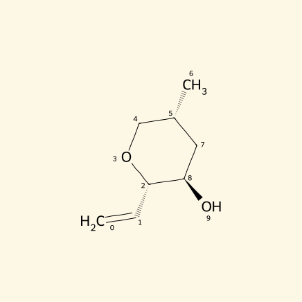 C=C[C@@H]1OC[C@H](C)C[C@H]1O